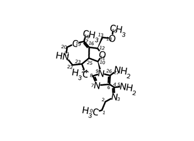 CCC/N=C(/N)c1ncn([C@@H]2O[C@H](COC)/C3=C(\C)CCNCC(C)C32)c1N